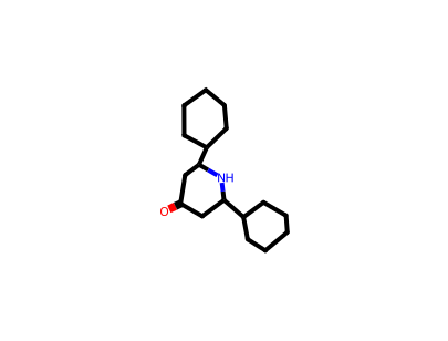 O=C1CC(C2CCCCC2)NC(C2CCCCC2)C1